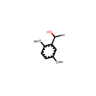 COc1ccc(OC)c(C(O)C(C)=O)c1